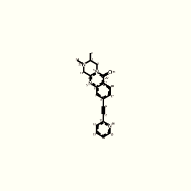 CC1Cn2c(nc3cc(C#Cc4ccccn4)ccc3c2=O)CN1C